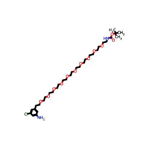 CC(C)(C)OC(=O)NCCOCCOCCOCCOCCOCCOCCOCCOCCOCCOCCc1cc(N)cc(Cl)c1